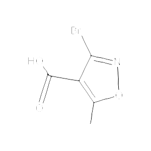 Cc1onc(Br)c1C(=O)O